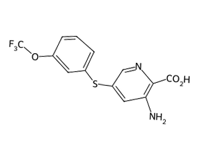 Nc1cc(Sc2cccc(OC(F)(F)F)c2)cnc1C(=O)O